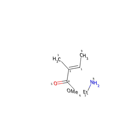 CC=C(C)C(=O)OC.CCN